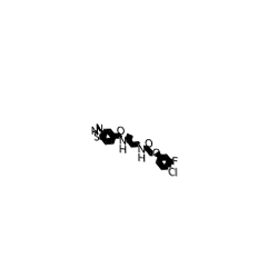 C=C(CCNC(=O)COc1ccc(Cl)c(F)c1)NC(=O)c1ccc2snnc2c1